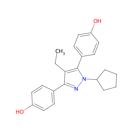 CCc1c(-c2ccc(O)cc2)nn(C2CCCC2)c1-c1ccc(O)cc1